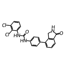 O=C(Nc1ccc(-c2cccc3c2CNC3=O)cc1)Nc1cccc(Cl)c1Cl